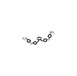 O=[N+]([O-])c1ccc(Oc2ccc(C=c3nccnc3=Cc3ccc(Oc4ccc([N+](=O)[O-])cc4)cc3)cc2)cc1